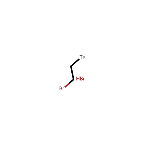 Br.BrCC[Te]